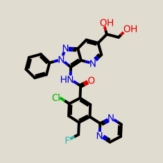 O=C(Nc1c2ncc(C(O)CO)cc2nn1-c1ccccc1)c1cc(-c2ncccn2)c(CF)cc1Cl